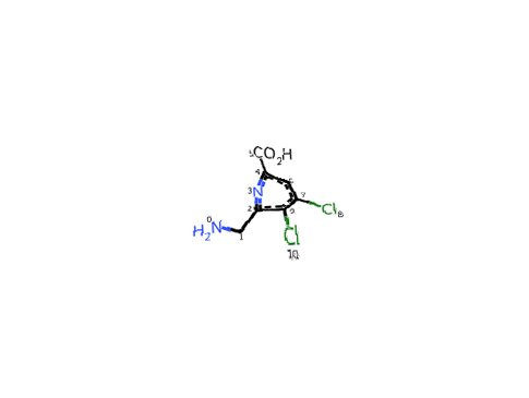 NCc1nc(C(=O)O)cc(Cl)c1Cl